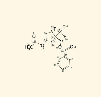 CC(=O)OC1CC[C@](COC(=O)c2ccccc2)(C(F)(F)F)O1